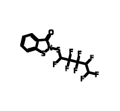 O=c1c2ccccc2sn1SC(F)C(F)(F)C(F)(F)C(F)C(F)F